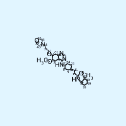 COc1cc2c(Nc3ccc(C=CC(=O)Nc4ccccc4C)cc3)ncnc2cc1OCCCN1CCOCC1